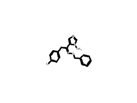 Cn1cncc1C(Cc1ccc(Cl)cc1)=NOCc1ccccc1